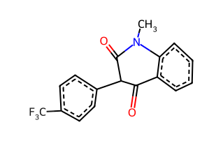 CN1C(=O)C(c2ccc(C(F)(F)F)cc2)C(=O)c2ccccc21